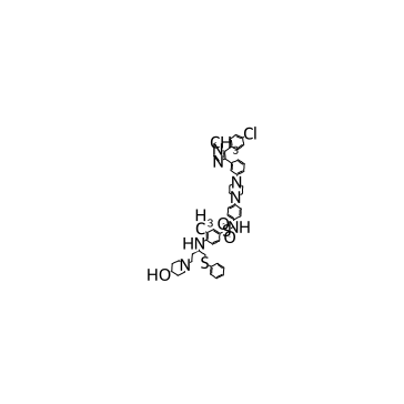 Cc1cc(S(=O)(=O)Nc2ccc(N3CCN(c4cccc(-c5ncn(C)c5-c5ccc(Cl)cc5)c4)CC3)cc2)ccc1N[C@H](CCN1CCC(O)CC1)CSc1ccccc1